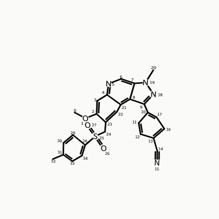 COc1cc2ncc3c(c(-c4ccc(C#N)cc4)nn3C)c2cc1CS(=O)(=O)c1ccc(C)cc1